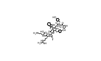 CSCC[C@H](NC(=O)[C@H](Cc1c[nH]c2ccccc12)NC(=O)[C@H](Cc1ccc(O)cc1)NC(=O)[C@H](C)NC(=O)[C@H](Cc1ccc(O)cc1)NC(=O)[C@@H]1CCCN1)C(=O)N[C@@H](CCCNC(=N)N)C(=O)N[C@@H](CCCCN)C(=O)O